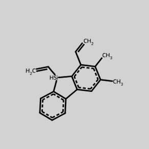 C=Cc1c(C)c(C)cc2c1[SiH](C=C)c1ccccc1-2